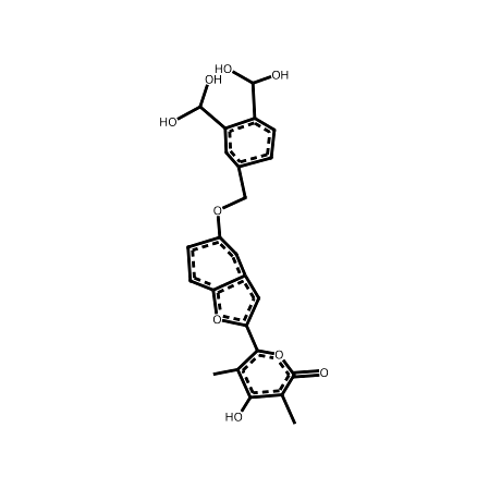 Cc1c(-c2cc3cc(OCc4ccc(C(O)O)c(C(O)O)c4)ccc3o2)oc(=O)c(C)c1O